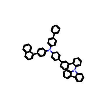 C1=CC(N(c2ccc(-c3ccccc3)cc2)c2ccc(-c3cccc4ccccc34)cc2)CC=C1c1cccc(-c2ccccc2-n2c3ccccc3c3ccccc32)c1